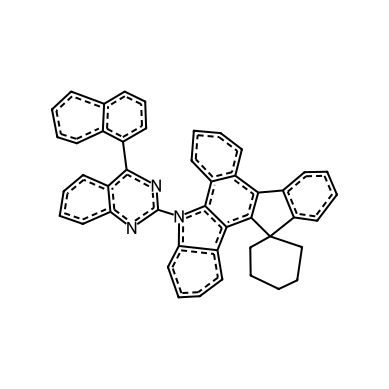 c1ccc2c(c1)-c1c(c3c4ccccc4n(-c4nc(-c5cccc6ccccc56)c5ccccc5n4)c3c3ccccc13)C21CCCCC1